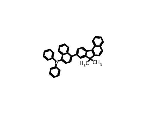 CC1(C)c2cc(-c3ccc(N(c4ccccc4)c4ccccc4)c4ccccc34)ccc2-c2c1ccc1ccccc21